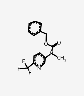 CN(C(=O)OCc1ccccc1)c1ccc(C(F)(F)F)nc1